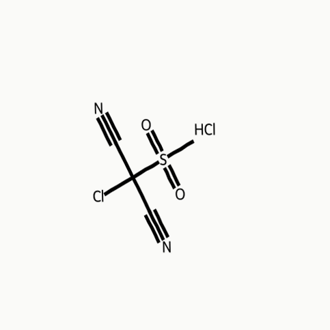 CS(=O)(=O)C(Cl)(C#N)C#N.Cl